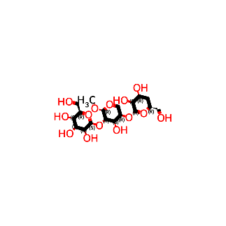 CO[C@@H]1OC[C@@H](O[C@H]2O[C@@H](CO)C[C@@H](O)[C@@H]2O)[C@H](O)[C@H]1O[C@@H]1O[C@H](CO)[C@@H](O)[C@H](O)[C@H]1O